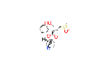 C[S+]([O-])CC[C@](CO)(C(=O)O[C@H]1CN2CCC1CC2)c1ccccc1